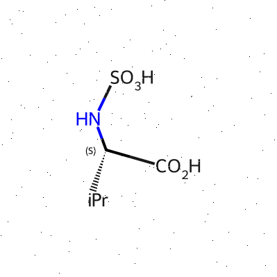 CC(C)[C@H](NS(=O)(=O)O)C(=O)O